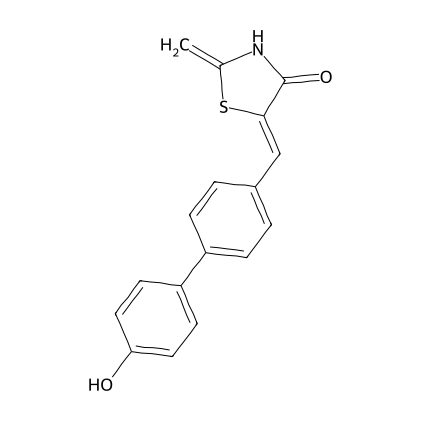 C=c1[nH]c(=O)/c(=C/c2ccc(-c3ccc(O)cc3)cc2)s1